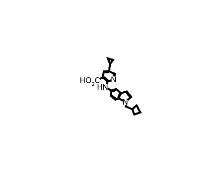 O=C(O)c1cc(C2CC2)cnc1Nc1ccc2c(ccn2CC2CCC2)c1